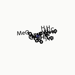 COc1ccc(NC(=O)c2cc3ccc4c5ccccc5[nH]c4c3c(/N=N/c3ccc(Nc4nc(NCCCN5CCCCC5C)nc(NCCCN5CCCCC5C)n4)cc3)c2O)c(C)c1